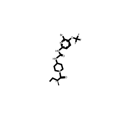 CC[C@H](C)C(=O)N1CCC(NC(=O)Nc2ccc(OC(F)(F)F)c(Br)n2)CC1